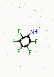 [NH]c1c(F)c(F)c(F)c(F)c1F